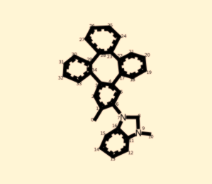 Cc1cc2c(cc1N1CN(C)c3ccccc31)-c1ccccc1-c1ccccc1-c1ccccc1-2